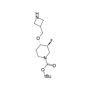 CC(C)(C)OC(=O)N1CC[C@H](OCC2CNC2)[C@@H](F)C1